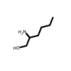 CCCCC(N)CO